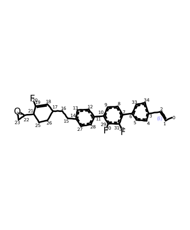 C/C=C/c1ccc(-c2ccc(-c3ccc(CCC4C=C(F)C(C5CO5)CC4)cc3)c(F)c2F)cc1